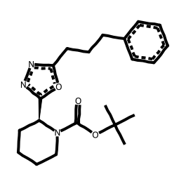 CC(C)(C)OC(=O)N1CCCC[C@H]1c1nnc(CCCc2ccccc2)o1